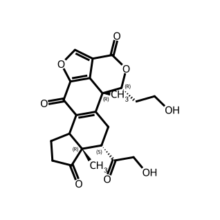 C[C@@]12C3=C(C(=O)c4occ(c41)C(=O)O[C@@H]2CCO)C1CCC(=O)[C@@]1(C)[C@@H](C(=O)CO)C3